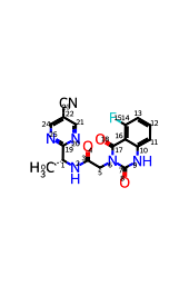 C[C@@H](NC(=O)Cn1c(=O)[nH]c2cccc(F)c2c1=O)c1ncc(C#N)cn1